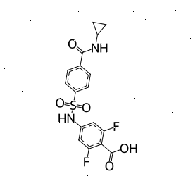 O=C(NC1CC1)c1ccc(S(=O)(=O)Nc2cc(F)c(C(=O)O)c(F)c2)cc1